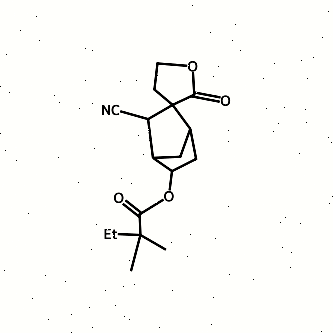 CCC(C)(C)C(=O)OC1CC2CC1C(C#N)C21CCOC1=O